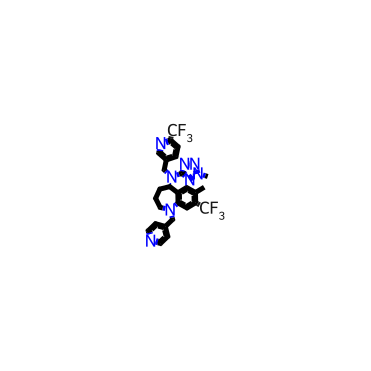 Cc1cc2c(cc1C(F)(F)F)N(Cc1ccncc1)CCC[C@@H]2N(Cc1ccc(C(F)(F)F)nc1)c1nnn(C)n1